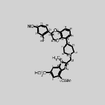 COc1cc(C(=O)O)cc2c1nc(CN1CCC(c3cccc4c3OC[C@@H](c3ccc(C#N)cc3F)O4)CC1)n2C